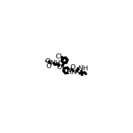 CCC(C)(C)C[C@@H](CNC)NC(=O)N1CCC[C@@H](C(OCCNC(=O)OC)c2cccc(Cl)c2)C1